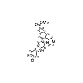 COC(=O)c1cc2cc(-c3cnc(Nc4ccc(F)c(Cl)c4)nc3N3CCOCC3)ccc2s1